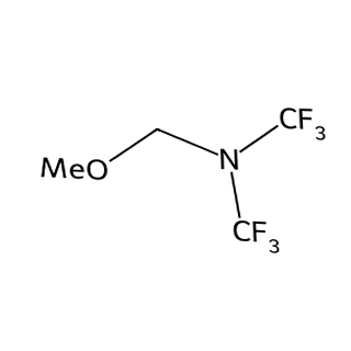 COCN(C(F)(F)F)C(F)(F)F